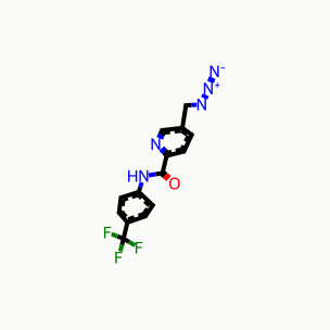 [N-]=[N+]=NCc1ccc(C(=O)Nc2ccc(C(F)(F)F)cc2)nc1